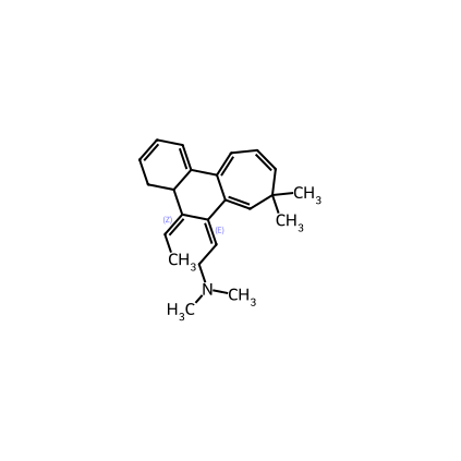 C/C=C1\C(=C/CN(C)C)C2=CC(C)(C)C=CC=C2C2=CC=CCC21